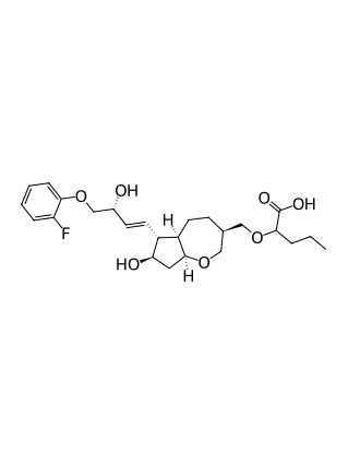 CCCC(OC[C@@H]1CC[C@@H]2[C@@H](C=C[C@@H](O)COc3ccccc3F)[C@H](O)C[C@@H]2OC1)C(=O)O